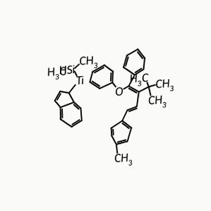 C[SiH](C)[Ti][CH]1C=Cc2ccccc21.Cc1ccc(C=CC(=C(Oc2ccccc2)c2ccccc2)C(C)(C)C)cc1